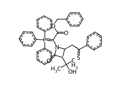 CC(C)(O)C1C(=O)N(C(C(=O)OCc2ccccc2)=P(c2ccccc2)(c2ccccc2)c2ccccc2)C1CC(=S)c1ccccc1